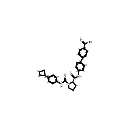 O=C(O)c1ccc(-c2ccc(NC(=O)[C@H]3CCCN3C(=O)Nc3ccc(C4CCC4)cc3)cc2)cc1